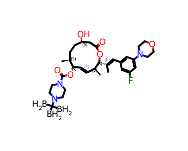 BC(B)(B)N1CCN(C(=O)O[C@H]2/C=C/[C@H](C)[C@@H](/C(C)=C/c3cc(F)cc(N4CCOCC4)c3)OC(=O)C[C@H](O)CC[C@@H]2C)CC1